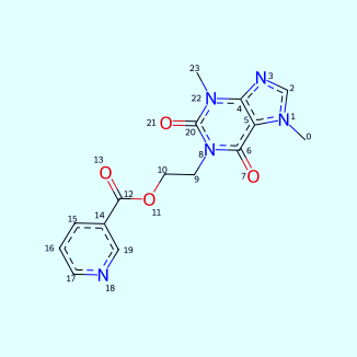 Cn1cnc2c1c(=O)n(CCOC(=O)c1cccnc1)c(=O)n2C